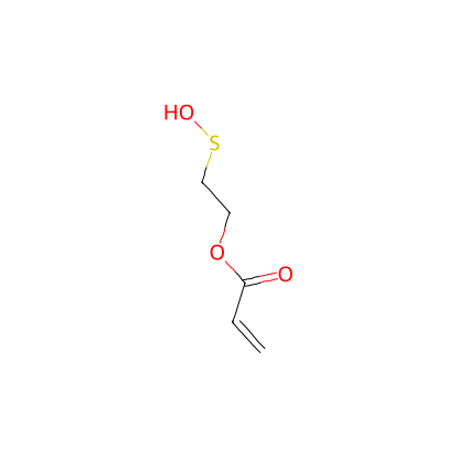 C=CC(=O)OCCSO